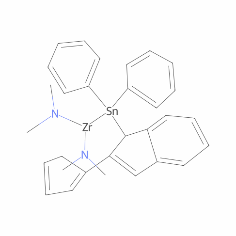 C[N](C)[Zr]([N](C)C)[Sn]([c]1ccccc1)([c]1ccccc1)[CH]1C(C2=CC=CC2)=Cc2ccccc21